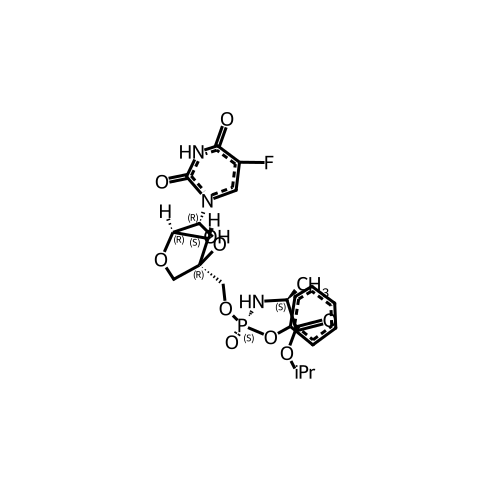 CC(C)OC(=O)[C@H](C)N[P@](=O)(OC[C@@]12CO[C@@H]([C@H](n3cc(F)c(=O)[nH]c3=O)O1)[C@@H]2O)Oc1ccccc1